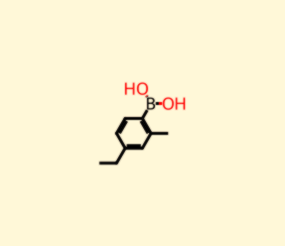 CCc1ccc(B(O)O)c(C)c1